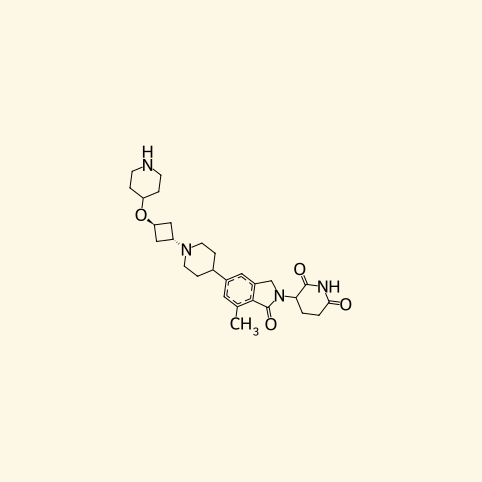 Cc1cc(C2CCN([C@H]3C[C@H](OC4CCNCC4)C3)CC2)cc2c1C(=O)N(C1CCC(=O)NC1=O)C2